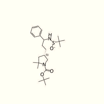 CC(C)(C)OC(=O)N1C[C@@H](CCC(N[S+]([O-])C(C)(C)C)c2ccccc2)CC1(C)C